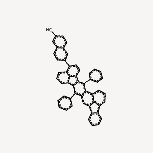 N#Cc1ccc2cc(-c3ccc4c5c(-c6ccccc6)c6c(cc7c8ccccc8c8cccc6c87)c(-c6ccccc6)c5c5cccc3c54)ccc2c1